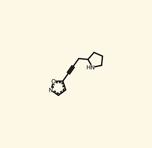 C(#Cc1ccno1)CC1CCCN1